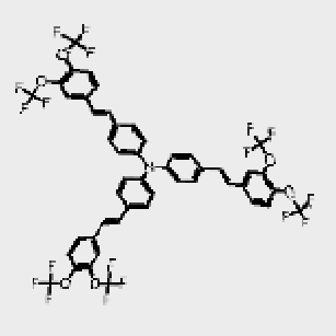 FC(F)(F)Oc1ccc(/C=C/c2ccc(N(c3ccc(/C=C/c4ccc(OC(F)(F)F)c(OC(F)(F)F)c4)cc3)c3ccc(/C=C/c4ccc(OC(F)(F)F)c(OC(F)(F)F)c4)cc3)cc2)cc1OC(F)(F)F